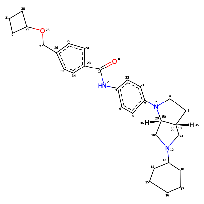 O=C(Nc1ccc(N2CC[C@@H]3CN(C4CCCCC4)C[C@@H]32)cc1)c1ccc(COC2CCC2)cc1